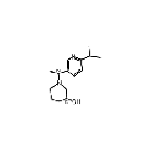 CC(C)c1ccc([C@H](C)N2CCC[C@H](O)C2)cn1